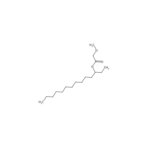 CCCCCCCCCCCC(CC)OC(=O)COC